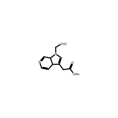 COC(=O)CC1=CN(CC=O)C2C=NC=CC12